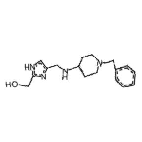 OCc1nc(CNC2CCN(Cc3ccccc3)CC2)c[nH]1